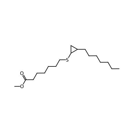 CCCCCCCC1CC1SCCCCCCC(=O)OC